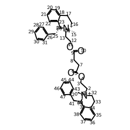 C[N@@+]1(CCOC(=O)CCC(=O)OCC[N@+]2(C)CCc3ccccc3[C@H]2Cc2ccccc2)CCc2ccccc2[C@H]1Cc1ccccc1